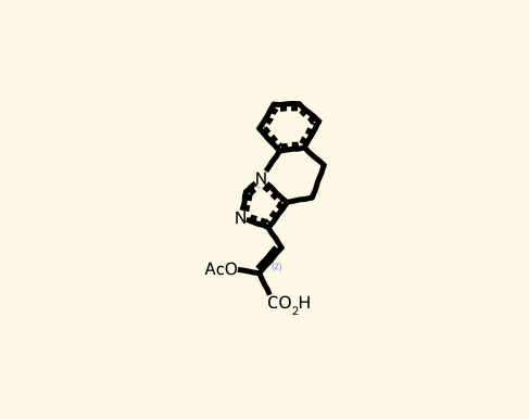 CC(=O)O/C(=C\c1ncn2c1CCc1ccccc1-2)C(=O)O